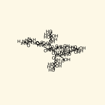 CSSC[C@@H](NC(=O)[C@@H](CCC(=O)NC[C@H](O)[C@@H](O)[C@H](O)[C@H](O)CO)NC(=O)[C@@H](CCC(=O)O)NC(=O)[C@@H](CCC(=O)NC[C@H](O)[C@@H](O)[C@H](O)[C@H](O)CO)NC(=O)[C@@H](CCC(=O)O)NC(=O)[C@@H](CCC(=O)NC[C@H](O)[C@@H](O)[C@H](O)[C@H](O)CO)NC(=O)CC[C@@H](NC(=O)c1ccc(NCc2cnc3nc(N)[nH]c(=O)c3n2)cc1)C(=O)O)C(=O)O